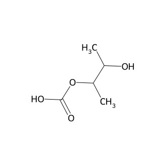 CC(O)C(C)OC(=O)O